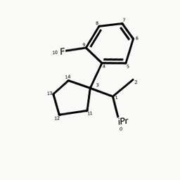 CC(C)C(C)C1(c2ccccc2F)CCCC1